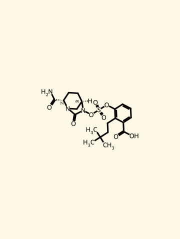 CC(C)(C)CCc1c(OS(=O)(=O)ON2C(=O)N3C[C@H]2CC[C@H]3C(N)=O)cccc1C(=O)O